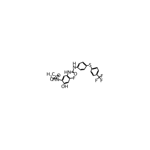 CS(=O)(=O)Nc1cc(NC(=O)Nc2ccc(Sc3ccc(C(F)(F)F)cc3)cc2)c(F)cc1O